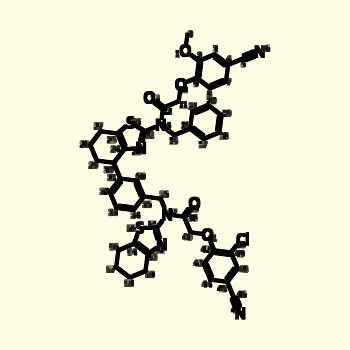 COc1cc(C#N)ccc1OCC(=O)N(Cc1ccccc1)c1nc2c(s1)CCCC2c1cccc(CN(C(=O)COc2ccc(C#N)cc2Cl)c2nc3c(s2)CCCC3)c1